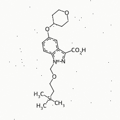 C[Si](C)(C)CCOCn1nc(C(=O)O)c2cc(OC3CCOCC3)ccc21